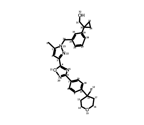 Cc1cc(-c2nc(-c3ccc(C4(F)CCOCC4)cc3)no2)nn1Cc1cccc(C2(CO)CC2)c1